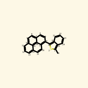 Cc1sc(-c2ccc3ccc4cccc5ccc2c3c45)c2ccccc12